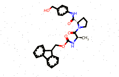 C[C@@H](NC(=O)OCC1c2ccccc2-c2ccccc21)C(=O)N1CCC[C@H]1C(=O)Nc1ccc(CO)cc1